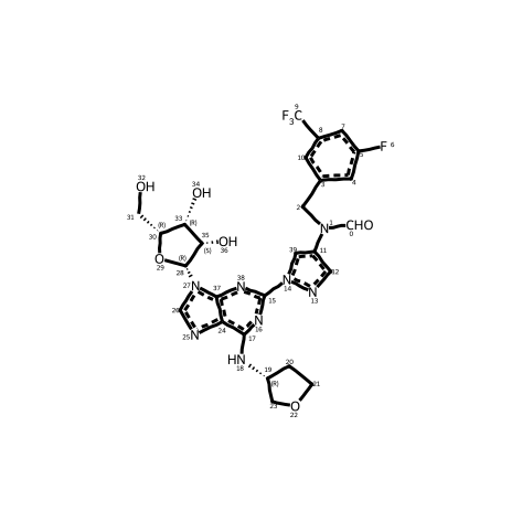 O=CN(Cc1cc(F)cc(C(F)(F)F)c1)c1cnn(-c2nc(N[C@@H]3CCOC3)c3ncn([C@@H]4O[C@H](CO)[C@H](O)[C@@H]4O)c3n2)c1